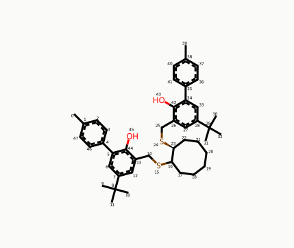 Cc1ccc(-c2cc(C(C)(C)C)cc(CSC3CCCCCC[C@@H]3SCc3cc(C(C)(C)C)cc(-c4ccc(C)cc4)c3O)c2O)cc1